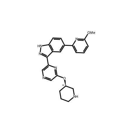 COc1cccc(-c2ccc3[nH]nc(-c4cncc(O[C@@H]5CCCNC5)n4)c3c2)n1